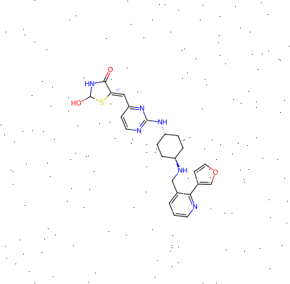 O=C1NC(O)S/C1=C\c1ccnc(N[C@H]2CC[C@H](NCc3cccnc3-c3ccoc3)CC2)n1